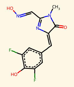 CN1C(=O)/C(=C/c2cc(F)c(O)c(F)c2)N=C1C=NO